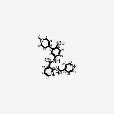 CN1CC=C(c2cc(NC(=O)c3cccnc3NCc3ccncc3)ccc2C(C)(C)C)CC1